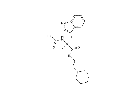 CC(Cc1c[nH]c2ccccc12)(NC(=O)O)C(=O)NCCC1CCCCC1